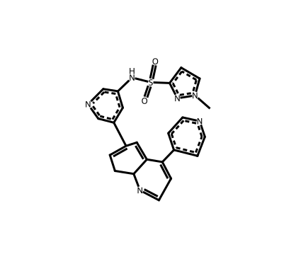 Cn1ccc(S(=O)(=O)Nc2cncc(C3=CCC4N=CC=C(c5ccncc5)C4=C3)c2)n1